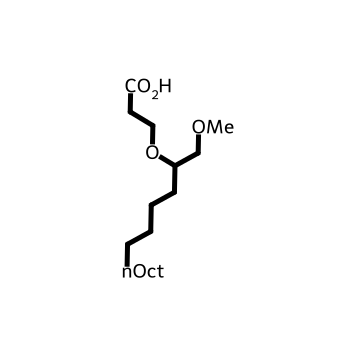 CCCCCCCCCCCCC(COC)OCCC(=O)O